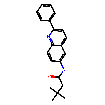 CC(C)(C)CC(=O)Nc1ccc2nc(-c3ccccc3)ccc2c1